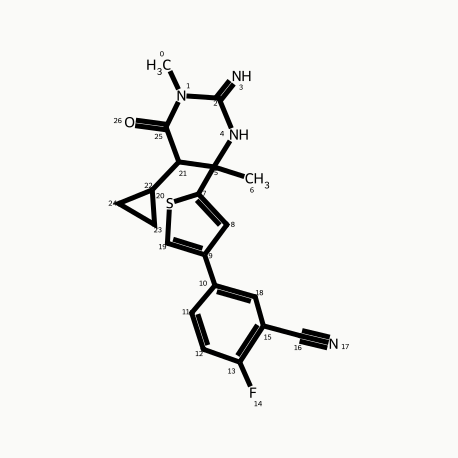 CN1C(=N)NC(C)(c2cc(-c3ccc(F)c(C#N)c3)cs2)C(C2CC2)C1=O